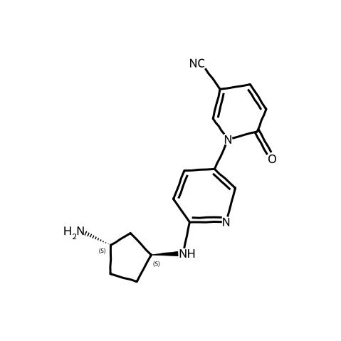 N#Cc1ccc(=O)n(-c2ccc(N[C@H]3CC[C@H](N)C3)nc2)c1